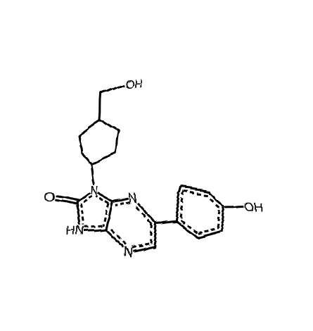 O=c1[nH]c2ncc(-c3ccc(O)cc3)nc2n1C1CCC(CO)CC1